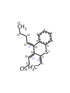 C/C=C1/Sc2ccccc2C(=C\CCC)/C1=C/CCl